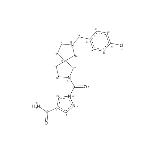 NC(=O)c1cnn(C(=O)N2CCC3(CCN(Cc4ccc(Cl)cc4)C3)C2)c1